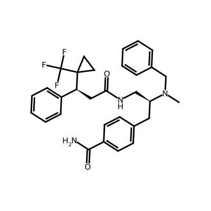 CN(Cc1ccccc1)[C@H](CNC(=O)C[C@@H](c1ccccc1)C1(C(F)(F)F)CC1)Cc1ccc(C(N)=O)cc1